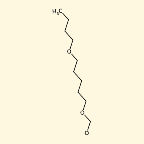 CCCCOCCCCCOC[O]